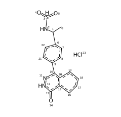 CC(N[SH](=O)=O)c1ccc(-c2n[nH]c(=O)c3ccccc23)cc1.Cl